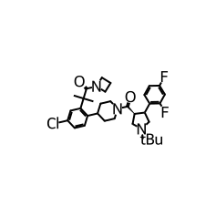 CC(C)(C(=O)N1CCC1)c1cc(Cl)ccc1C1CCN(C(=O)[C@@H]2CN(C(C)(C)C)CC2c2ccc(F)cc2F)CC1